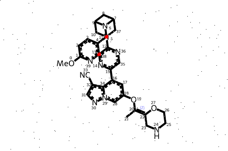 COc1ccc(CN2C3CC2CN(c2cnc(-c4cc(O/C(C)=C5/CNCCO5)cn5ncc(C#N)c45)cn2)C3)cn1